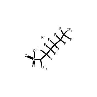 CC(C(F)(F)C(F)(F)C(F)(F)C(F)(F)C(F)(F)C(F)(F)F)S(=O)(=O)[O-].[K+]